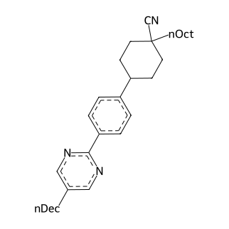 CCCCCCCCCCc1cnc(-c2ccc(C3CCC(C#N)(CCCCCCCC)CC3)cc2)nc1